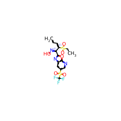 C=C/C=C(\C(=N\O)c1nc2cc(S(=O)(=O)C(F)(F)F)cnc2o1)S(=O)(=O)CC